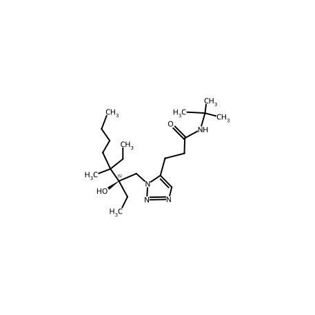 CCCCC(C)(CC)[C@@](O)(CC)Cn1nncc1CCC(=O)NC(C)(C)C